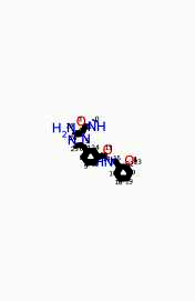 CNC(=O)c1nc(-c2cccc(C(=O)NCc3ccccc3OC)c2)cnc1N